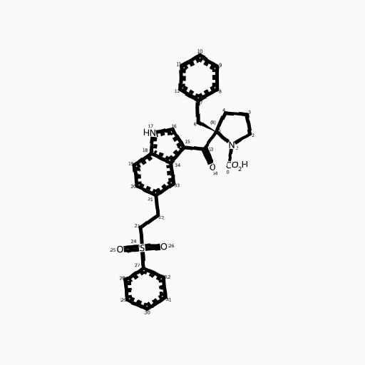 O=C(O)N1CCC[C@@]1(Cc1ccccc1)C(=O)c1c[nH]c2ccc(CCS(=O)(=O)c3ccccc3)cc12